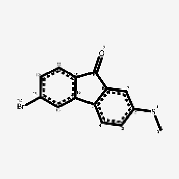 CSc1ccc2c(c1)C(=O)c1ccc(Br)cc1-2